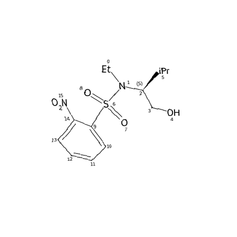 CCN([C@H](CO)C(C)C)S(=O)(=O)c1ccccc1[N+](=O)[O-]